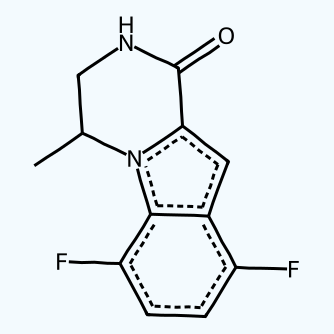 CC1CNC(=O)c2cc3c(F)ccc(F)c3n21